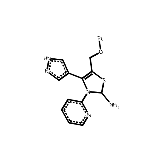 CCOCC1=C(c2cn[nH]c2)N(c2ccccn2)C(N)S1